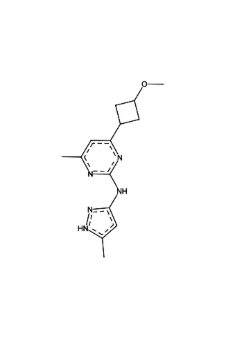 COC1CC(c2cc(C)nc(Nc3cc(C)[nH]n3)n2)C1